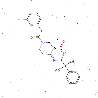 CC(C)(c1ccccc1)c1nc2c(c(=O)[nH]1)CN(C(=O)Cc1cccc(Cl)c1)CC2